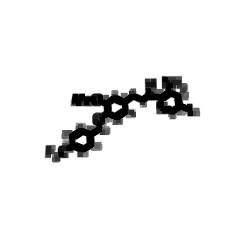 COc1cc(CCNc2ncc(I)cc2N)ccc1OCc1ccc(C(F)(F)F)cc1